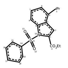 CCOC(=O)c1cc2c(C(C)C)cccc2n1S(=O)(=O)c1ccccc1